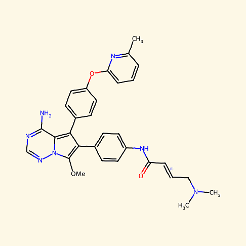 COc1c(-c2ccc(NC(=O)/C=C/CN(C)C)cc2)c(-c2ccc(Oc3cccc(C)n3)cc2)c2c(N)ncnn12